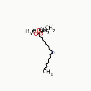 C=C[SiH2]OC(CCCCCCC/C=C\CCCCCCCC)(OC)OC